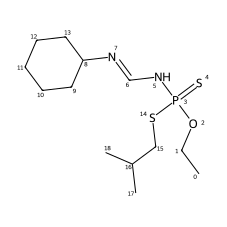 CCOP(=S)(N/C=N/C1CCCCC1)SCC(C)C